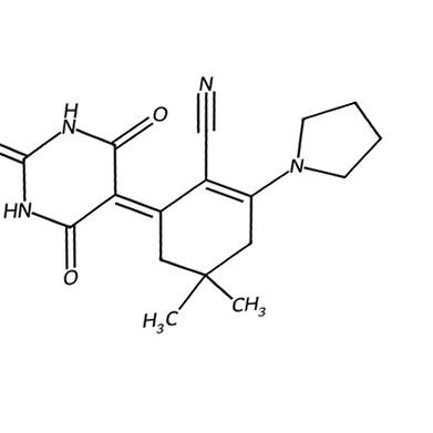 CC1(C)CC(=C2C(=O)NC(=O)NC2=O)C(C#N)=C(N2CCCC2)C1